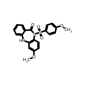 COc1ccc(S(=O)(=O)N2C(=O)c3ccccc3Nc3cc(OC)ccc32)cc1